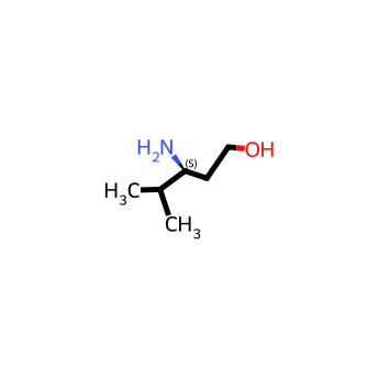 CC(C)[C@@H](N)CCO